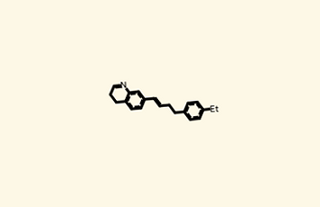 CCc1ccc(CCC=Cc2ccc3c(c2)N=CCC3)cc1